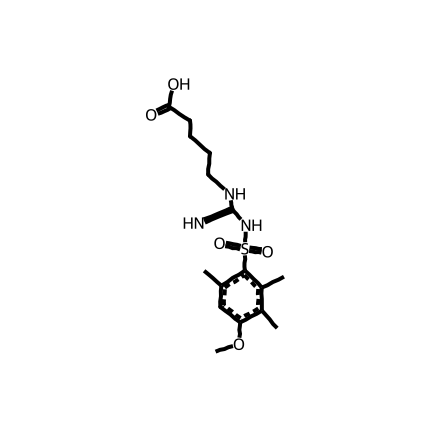 COc1cc(C)c(S(=O)(=O)NC(=N)NCCCCC(=O)O)c(C)c1C